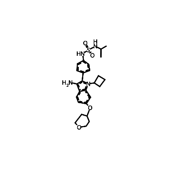 CC(C)NS(=O)(=O)Nc1ccc(-c2c(N)c3ccc(OC4CCOCC4)cc3n2C2CCC2)cc1